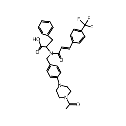 CC(=O)N1CCN(c2ccc(CN(C(=O)C=Cc3ccc(C(F)(F)F)cc3)C(Cc3ccccc3)C(=O)O)cc2)CC1